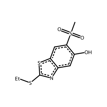 [CH2]CSc1nc2cc(O)c(S(C)(=O)=O)cc2s1